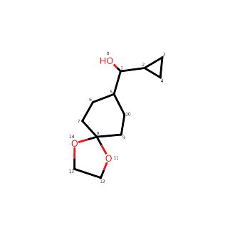 OC(C1CC1)C1CCC2(CC1)OCCO2